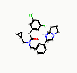 O=C(Cc1cc(Cl)cc(Cl)c1)N(Cc1cccc(-c2cn3c(n2)CCC3)c1)CC1CC1